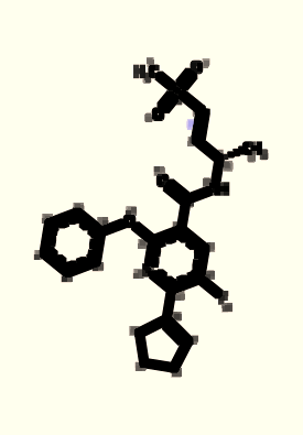 C[C@@H](/C=C/S(C)(=O)=O)NC(=O)c1cc(F)c(C2=CCCC2)nc1Oc1ccccc1